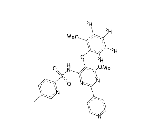 [2H]c1c([2H])c([2H])c(Oc2c(NS(=O)(=O)c3ccc(C)cn3)nc(-c3ccncc3)nc2OC)c(OC)c1[2H]